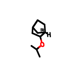 CC(C)OC1CC2CC[C@H]1C2